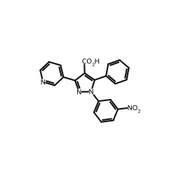 O=C(O)c1c(-c2cccnc2)nn(-c2cccc([N+](=O)[O-])c2)c1-c1ccccc1